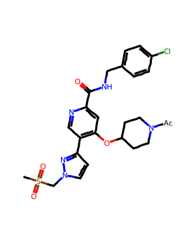 CC(=O)N1CCC(Oc2cc(C(=O)NCc3ccc(Cl)cc3)ncc2-c2ccn(CS(C)(=O)=O)n2)CC1